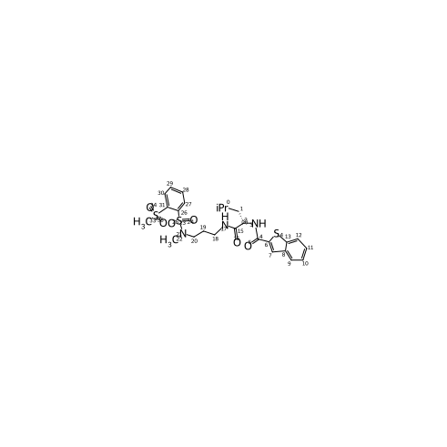 CC(C)C[C@H](NC(=O)c1cc2ccccc2s1)C(=O)NCCCN(C)S(=O)(=O)c1ccccc1S(C)(=O)=O